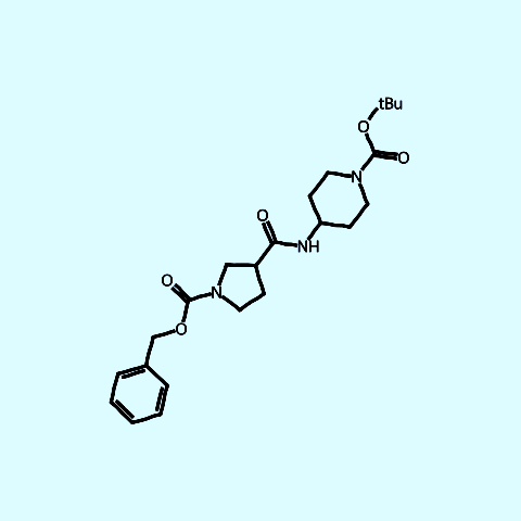 CC(C)(C)OC(=O)N1CCC(NC(=O)C2CCN(C(=O)OCc3ccccc3)C2)CC1